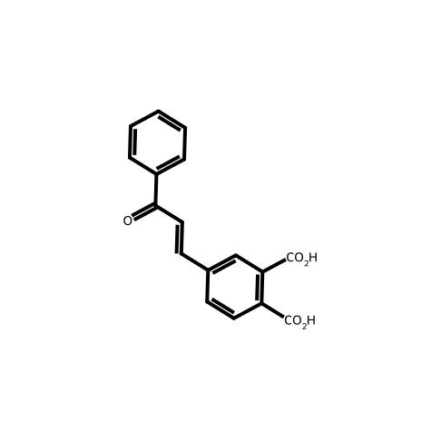 O=C(C=Cc1ccc(C(=O)O)c(C(=O)O)c1)c1ccccc1